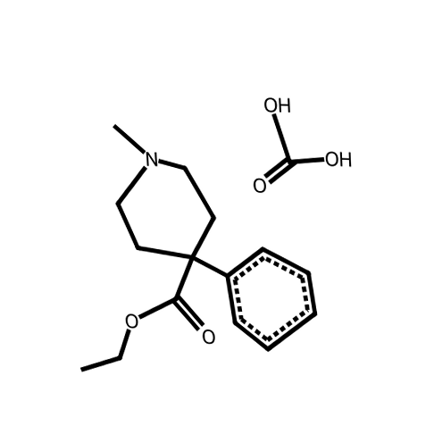 CCOC(=O)C1(c2ccccc2)CCN(C)CC1.O=C(O)O